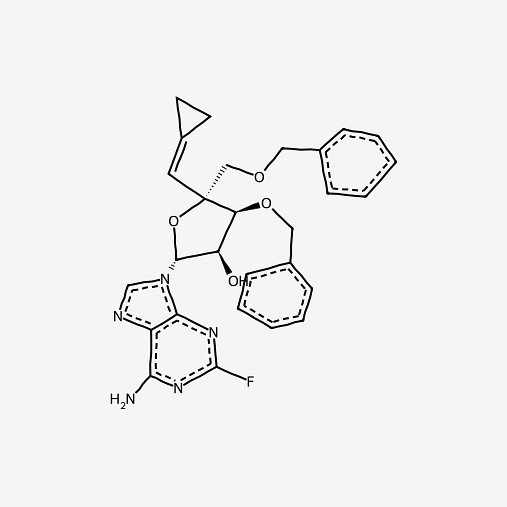 Nc1nc(F)nc2c1ncn2[C@@H]1O[C@](C=C2CC2)(COCc2ccccc2)[C@@H](OCc2ccccc2)[C@H]1O